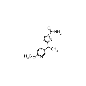 COc1ccc(C(C)c2ccn(C(N)=O)n2)cn1